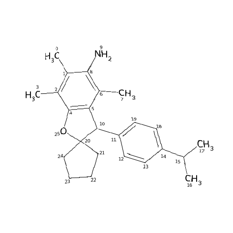 Cc1c(C)c2c(c(C)c1N)C(c1ccc(C(C)C)cc1)C1(CCCC1)O2